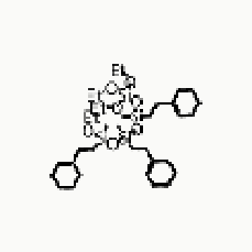 CCO[Si](C)(CCC1=CCCCC1)O[Si](C)(CCC1=CCCCC1)O[Si](C)(CCC1=CCCCC1)O[Si](OCC)(OCC)OCC